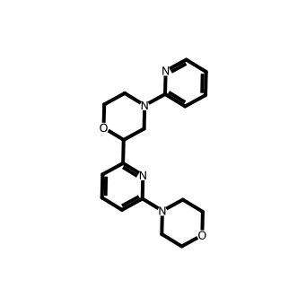 c1ccc(N2CCOC(c3cccc(N4CCOCC4)n3)C2)nc1